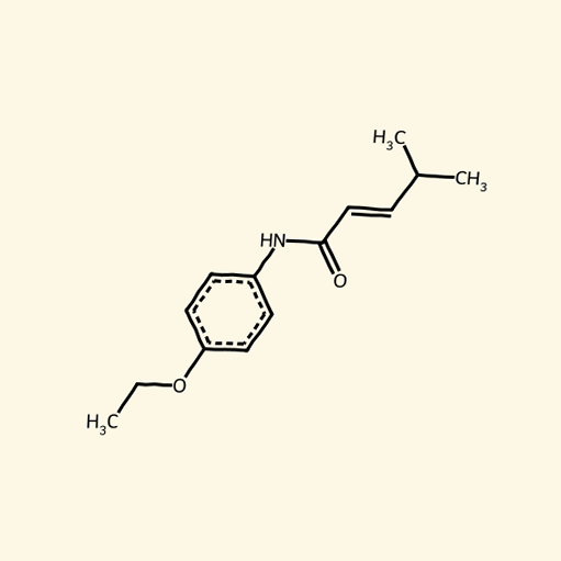 CCOc1ccc(NC(=O)/C=C/C(C)C)cc1